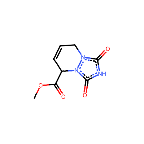 COC(=O)C1C=CCn2c(=O)[nH]c(=O)n21